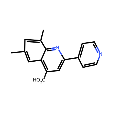 Cc1cc(C)c2nc(-c3ccncc3)cc(C(=O)O)c2c1